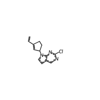 C=CC1=CC(n2ccc3cnc(Cl)nc32)CC1